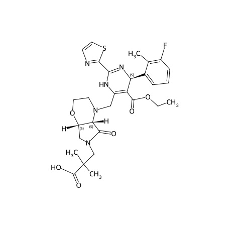 CCOC(=O)C1=C(CN2CCO[C@H]3CN(CC(C)(C)C(=O)O)C(=O)[C@H]32)NC(c2nccs2)=N[C@H]1c1cccc(F)c1C